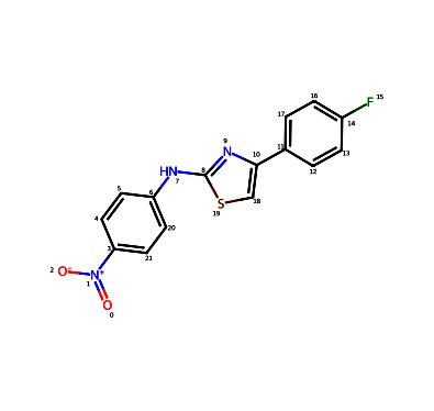 O=[N+]([O-])c1ccc(Nc2nc(-c3ccc(F)cc3)cs2)cc1